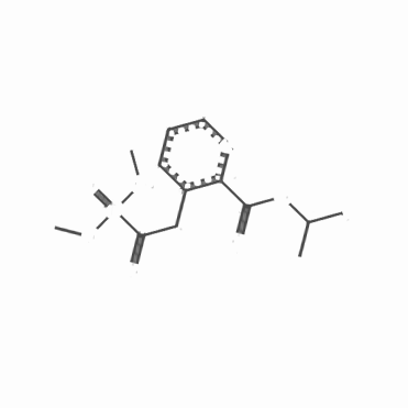 COP(=O)(OC)C(=O)Cc1cccnc1C(=O)OC(C)C